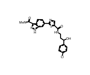 CNC(=O)c1n[nH]c2cc(-c3ncc(C(=O)NCCC(O)c4ccc(Cl)cc4)s3)ccc12